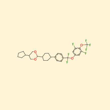 Fc1cc(OC(F)(F)c2ccc(C3CCC(C4OCC(C5CCCC5)CO4)CC3)cc2)cc(F)c1OC(F)(F)F